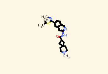 C=C(C)S/C(=N\C)c1ccc2cnc(NC(=O)C3CC4(CCN(C)CC4)C3)cc2c1